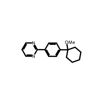 COC1(c2ccc(-c3ncccn3)cc2)CCCCC1